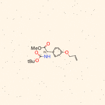 C=CCOc1ccc([C@H](NC(=O)OC(C)(C)C)C(=O)OC)cc1